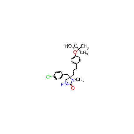 CN1C(=O)NCC1(CCCc1ccc(OC(C)(C)C(=O)O)cc1)Cc1ccc(Cl)cc1